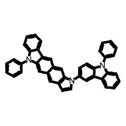 c1ccc(-n2c3ccccc3c3cc(-n4ccc5cc6cc7c(cc6cc54)c4ccccc4n7-c4ccccc4)ccc32)cc1